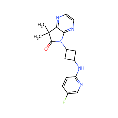 CC1(C)C(=O)N(C2CC(Nc3ccc(F)cn3)C2)c2nccnc21